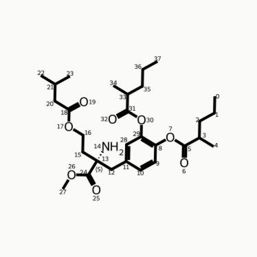 CCCC(C)C(=O)Oc1ccc(C[C@](N)(CCOC(=O)CC(C)C)C(=O)OC)cc1OC(=O)C(C)CCC